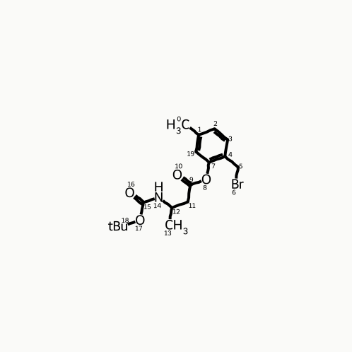 Cc1ccc(CBr)c(OC(=O)CC(C)NC(=O)OC(C)(C)C)c1